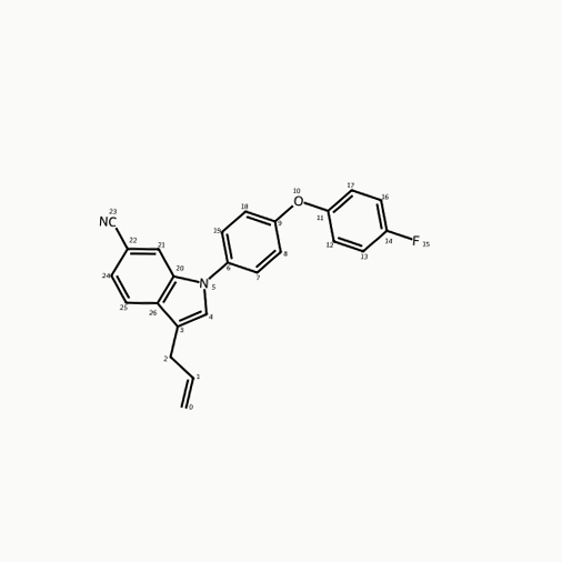 C=CCc1cn(-c2ccc(Oc3ccc(F)cc3)cc2)c2cc(C#N)ccc12